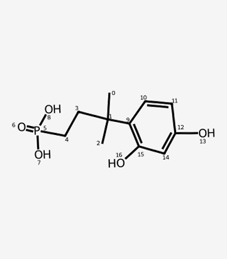 CC(C)(CCP(=O)(O)O)c1ccc(O)cc1O